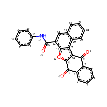 O=C1c2ccccc2C(=O)c2c1oc1c(C(=O)Nc3ccccc3)cc3ccccc3c21